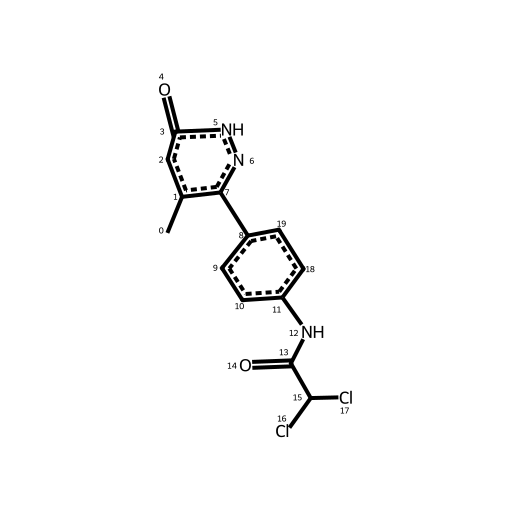 Cc1cc(=O)[nH]nc1-c1ccc(NC(=O)C(Cl)Cl)cc1